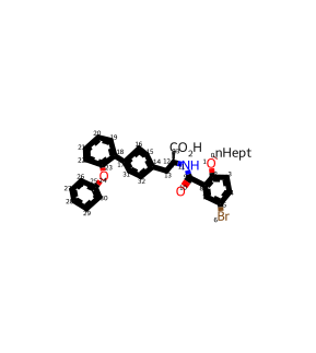 CCCCCCCOc1ccc(Br)cc1C(=O)N[C@@H](Cc1ccc(-c2ccccc2Oc2ccccc2)cc1)C(=O)O